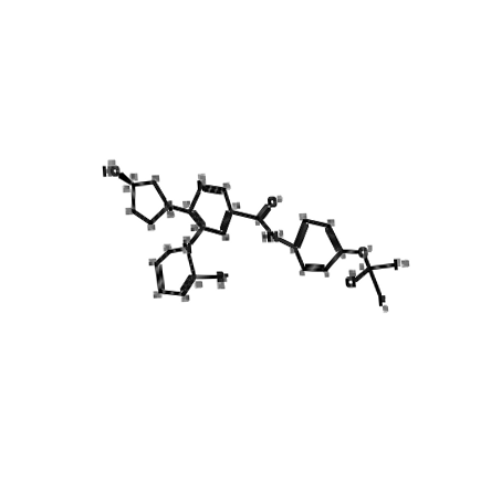 O=C(Nc1ccc(OC(F)(F)Cl)cc1)c1cnc(N2CC[C@@H](O)C2)c(N2CC=CC=C2Br)c1